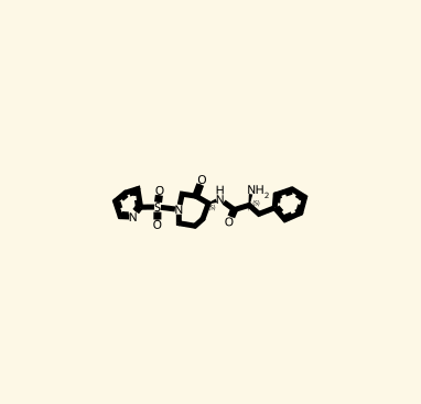 N[C@@H](Cc1ccccc1)C(=O)N[C@H]1CCCN(S(=O)(=O)c2ccccn2)CC1=O